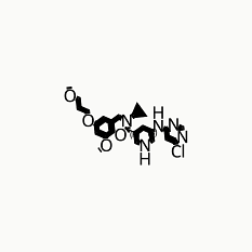 COCCCOc1cc(CN(C(=O)[C@H]2CNC[C@@H](Nc3cc(Cl)ncn3)C2)C2CC2)cc(OC)c1